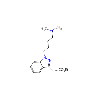 CCOC(=O)Cc1nn(CCCCN(C)C)c2ccccc12